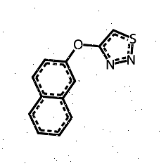 [c]1c(Oc2csnn2)ccc2ccccc12